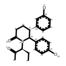 CC[C@@H](C(C)=O)N1C(=O)CC[C@H](c2cccc(Cl)c2)C1c1ccc(Cl)cc1